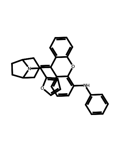 c1ccc(Nc2cccc3c2Oc2ccccc2C3=C2CC3CCC(C2)N3Cc2ccco2)cc1